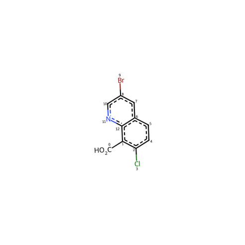 O=C(O)c1c(Cl)ccc2cc(Br)cnc12